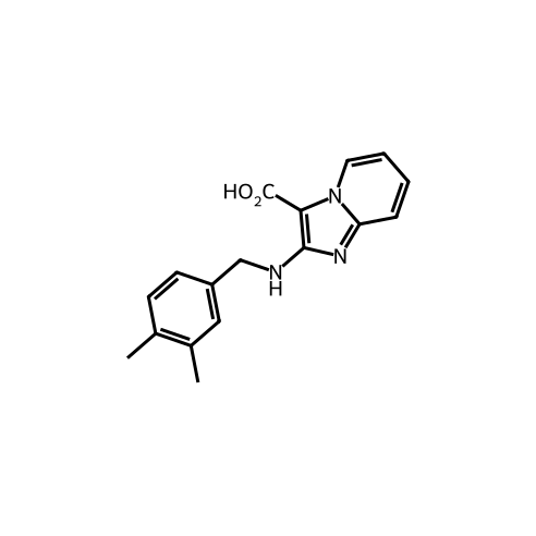 Cc1ccc(CNc2nc3ccccn3c2C(=O)O)cc1C